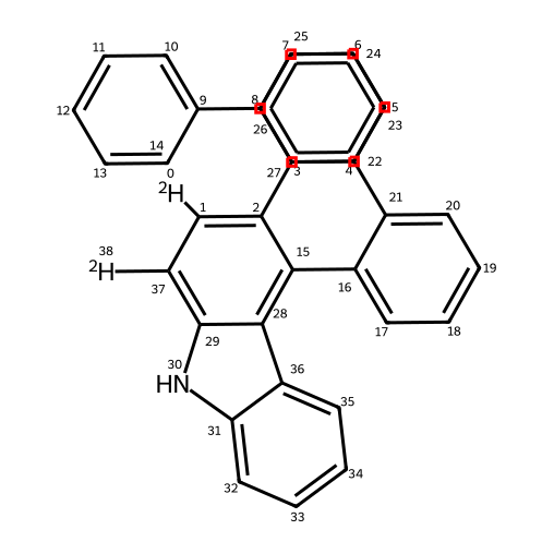 [2H]c1c(-c2ccccc2-c2ccccc2)c(-c2ccccc2-c2ccccc2)c2c([nH]c3ccccc32)c1[2H]